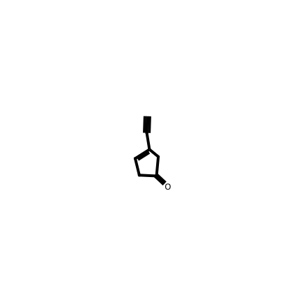 C#CC1=CCC(=O)C1